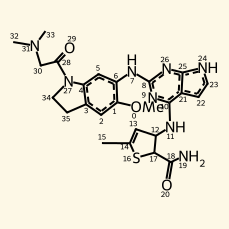 COc1cc2c(cc1Nc1nc(NC3C=C(C)SC3C(N)=O)c3cc[nH]c3n1)N(C(=O)CN(C)C)CC2